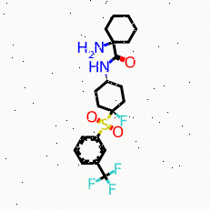 NC1(C(=O)N[C@H]2CC[C@@](F)(S(=O)(=O)c3cccc(C(F)(F)F)c3)CC2)CCCCC1